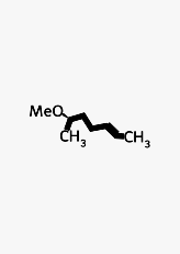 C/C=C/CC[C@H](C)OC